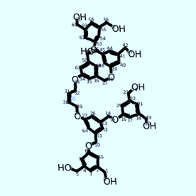 OCc1cc(CO)cc(OCc2cc(COc3cc(CO)cc(CO)c3)cc(OC/C=C\COc3cc(COc4cc(CO)cc(CO)c4)cc(COc4cc(CO)cc(CO)c4)c3)c2)c1